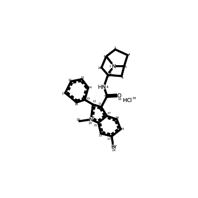 CN1C2CCC1CC(NC(=O)c1c(-c3ccccc3)n(C)c3cc(Br)ccc13)C2.Cl